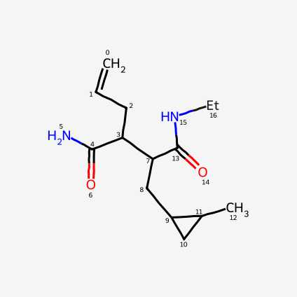 C=CCC(C(N)=O)C(CC1CC1C)C(=O)NCC